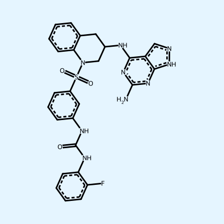 Nc1nc(NC2Cc3ccccc3N(S(=O)(=O)c3cccc(NC(=O)Nc4ccccc4F)c3)C2)c2cn[nH]c2n1